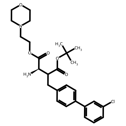 CC(C)(C)OC(=O)C(Cc1ccc(-c2cccc(Cl)c2)cc1)[C@@H](N)C(=O)OCCN1CCOCC1